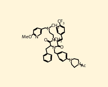 COc1ccc(CN(C)CCN(C)C(=O)C(Cc2ccccc2)N(Cc2ccc(N3CCN(C(C)=O)CC3)cc2)C(=O)C=Cc2ccc(C(F)(F)F)cc2)cn1